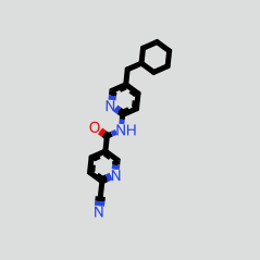 N#Cc1ccc(C(=O)Nc2ccc(CC3CCCCC3)cn2)cn1